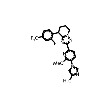 COc1nc(-c2nc3n(n2)CCCC3c2ccc(C(F)(F)F)cc2F)ccc1-n1cnc(C)c1